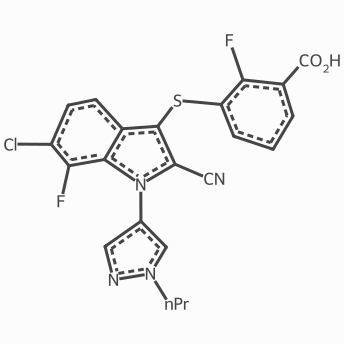 CCCn1cc(-n2c(C#N)c(Sc3cccc(C(=O)O)c3F)c3ccc(Cl)c(F)c32)cn1